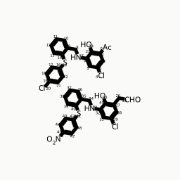 CC(=O)c1cc(Cl)cc(NCc2ccccc2Sc2ccc(Cl)cc2)c1O.O=CCc1cc(Cl)cc(NCc2ccccc2Sc2ccc([N+](=O)[O-])cc2)c1O